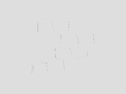 C=C([C](c1cccc2ccccc12)c1cccc2ccccc12)c1cccc2ccccc12